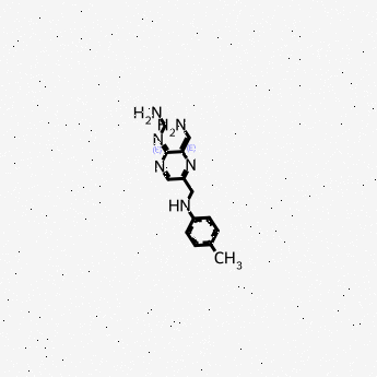 Cc1ccc(NCC2=NC(=C/N)/C(=N\CN)N=C2)cc1